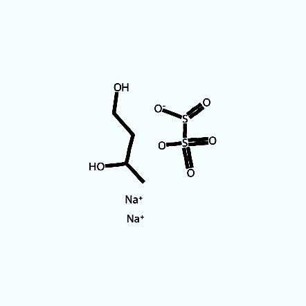 CC(O)CCO.O=S([O-])S(=O)(=O)[O-].[Na+].[Na+]